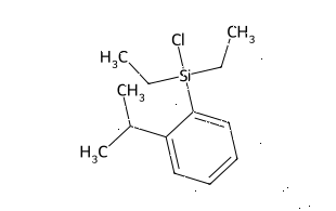 CC[Si](Cl)(CC)c1ccccc1C(C)C